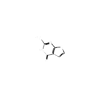 Cc1nc2sccc2c(=O)[nH]1